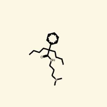 CCCCC(CCCC)(C(=O)NCCCN(C)C)c1ccccc1